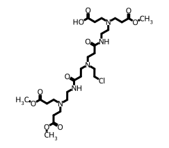 COC(=O)CCN(CCNC(=O)CCN(CCCl)CCC(=O)NCCN(CCC(=O)OC)CCC(=O)OC)CCC(=O)O